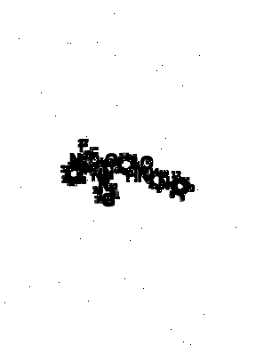 O=C(NC1CCN(c2ccccc2)CC1)[C@H]1CC[C@H](Oc2cc(-n3c(C(F)F)nc4ccccc43)nc(N3CCOCC3)n2)CC1